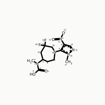 CN(C(=O)O)C1CCN(c2c([N+](=O)[O-])cnn2C)CC(F)(F)C1